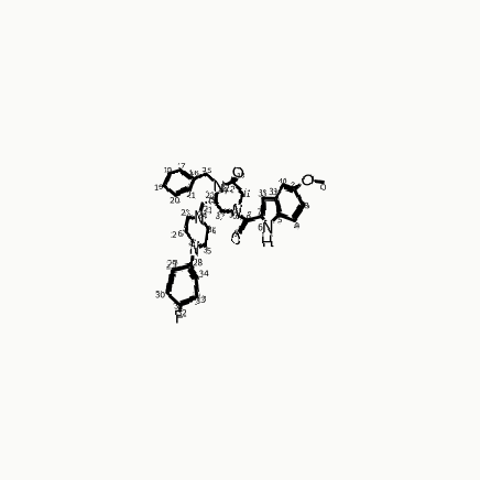 COc1ccc2[nH]c(C(=O)N3CC(=O)N(Cc4ccccc4)[C@@H](CN4CCN(c5ccc(F)cc5)CC4)C3)cc2c1